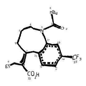 CCCCC(=O)N1CCCC(=C(CC)C(=O)O)c2ccc(C(F)(F)F)cc21